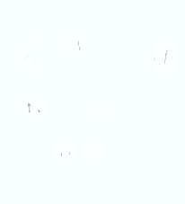 COC(=O)[C@@H](OC(C)(C)C)c1c(C)nc2sc(C)cc2c1-c1ccc(Cl)c(F)c1Cl